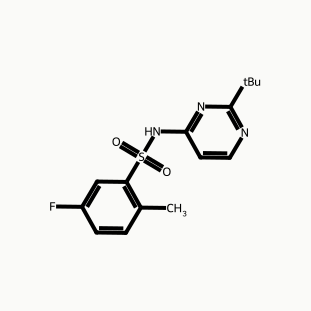 Cc1ccc(F)cc1S(=O)(=O)Nc1ccnc(C(C)(C)C)n1